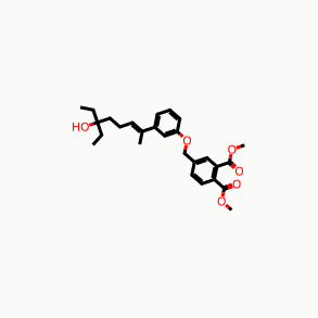 CCC(O)(CC)CC/C=C(\C)c1cccc(OCc2ccc(C(=O)OC)c(C(=O)OC)c2)c1